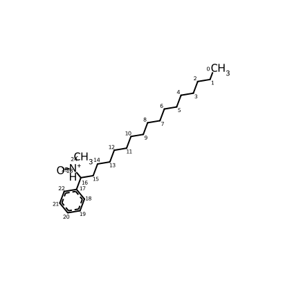 CCCCCCCCCCCCCCCCC(c1ccccc1)[NH+](C)[O-]